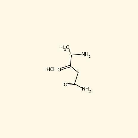 C[C@H](N)C(=O)CC(N)=O.Cl